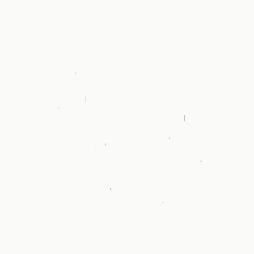 CCOP(=O)(OC)c1ccccc1C(=O)c1c(Cl)cccc1Cl